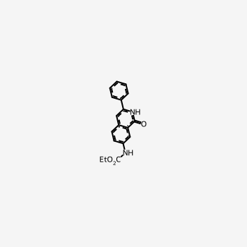 CCOC(=O)Nc1ccc2cc(-c3ccccc3)[nH]c(=O)c2c1